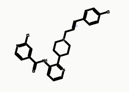 O=C(Nc1cccnc1C1CCN(C/C=C/c2ccc(Cl)cc2)CC1)c1ccnc(Cl)c1